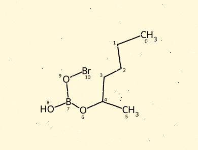 CCCCC(C)OB(O)OBr